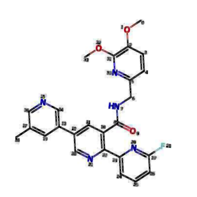 COc1ccc(CNC(=O)c2cc(-c3cncc(C)c3)cnc2-c2cccc(F)n2)nc1OC